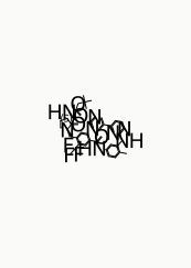 Cc1ccc(NC(=O)c2ccc(CN3CC[C@H](NC(=O)OC(C)(C)C)C3=O)c(C(F)(F)F)c2)cc1Nc1nccc(-c2cncnc2)n1